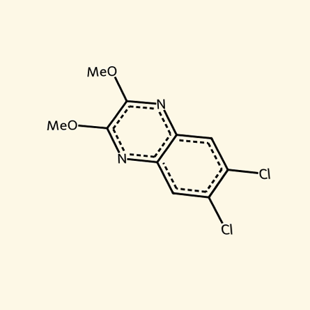 COc1nc2cc(Cl)c(Cl)cc2nc1OC